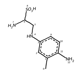 Cc1cc(NCC(N)S(=O)(=O)O)ccc1N